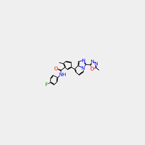 Cc1nnc(-c2ncc3c(-c4ccc(C)c(C(=O)Nc5ccc(F)cc5)c4)cccn23)o1